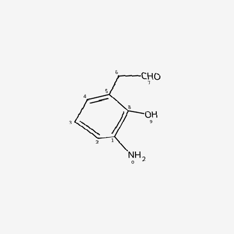 Nc1cccc(CC=O)c1O